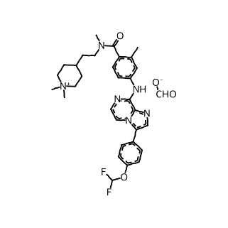 Cc1cc(Nc2nccn3c(-c4ccc(OC(F)F)cc4)cnc23)ccc1C(=O)N(C)CCC1CC[N+](C)(C)CC1.O=C[O-]